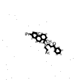 CC(=O)CCN(CCC(=O)c1ccccc1)CC1(C)CCCC2(C)c3ccc(C(C)C)cc3CCC12